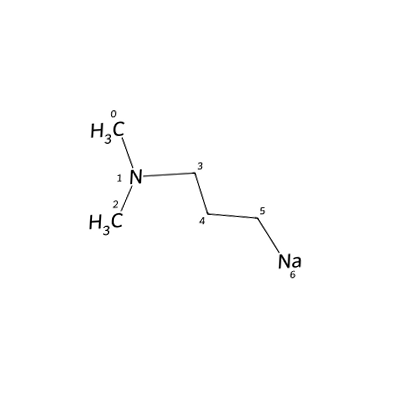 CN(C)CC[CH2][Na]